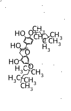 CCC(C)(C)CCC(C)(C)Oc1cc(O)c2c(c1)O[C@H](c1ccc(OC(C)(C)CCCC(C)(C)C)c(O)c1)[C@H](O)C2